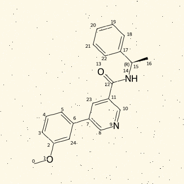 COc1cccc(-c2cncc(C(=O)N[C@H](C)c3ccccc3)c2)c1